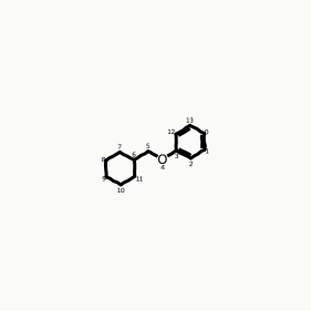 c1ccc(OCC2CCCCC2)cc1